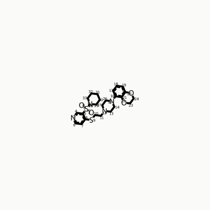 O=S(=O)(c1cnccc1SCCN1CCN(c2cccc3c2OCCO3)CC1)N1CCCCC1